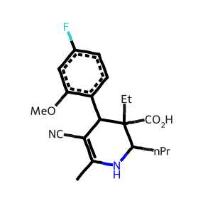 CCCC1NC(C)=C(C#N)C(c2ccc(F)cc2OC)C1(CC)C(=O)O